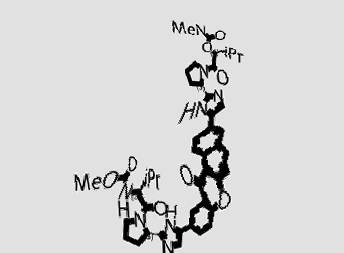 CNC(=O)O[C@H](C(=O)N1CCC[C@H]1c1ncc(-c2ccc3c(ccc4oc5ccc(-c6cnc([C@@H]7CCCN7C(=O)[C@@H](NC(=O)OC)C(C)C)[nH]6)cc5c(=O)c43)c2)[nH]1)C(C)C